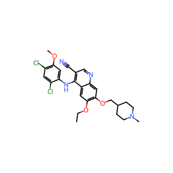 CCOc1cc2c(Nc3cc(OC)c(Cl)cc3Cl)c(C#N)cnc2cc1OCC1CCN(C)CC1